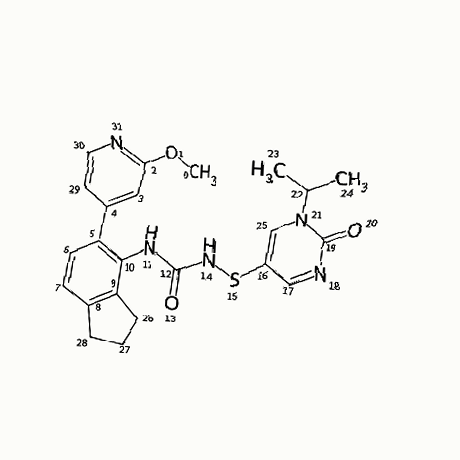 COc1cc(-c2ccc3c(c2NC(=O)NSc2cnc(=O)n(C(C)C)c2)CCC3)ccn1